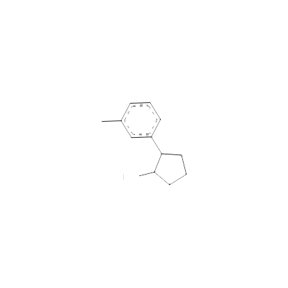 Cc1cccc(C2CCCC2C(F)(F)F)c1